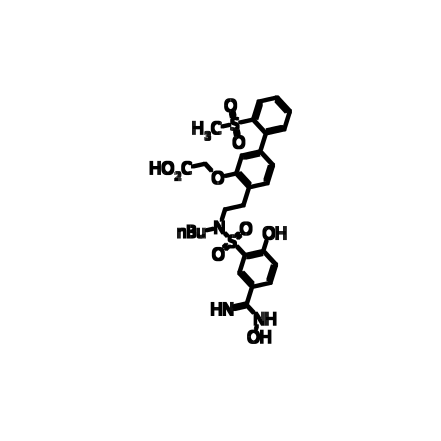 CCCCN(CCc1ccc(-c2ccccc2S(C)(=O)=O)cc1OCC(=O)O)S(=O)(=O)c1cc(C(=N)NO)ccc1O